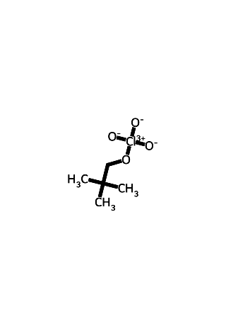 CC(C)(C)CO[Cl+3]([O-])([O-])[O-]